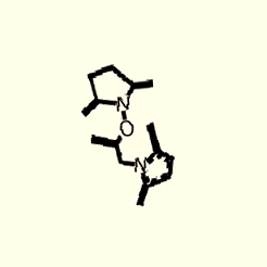 C=C(Cn1c(=C)ccc1=C)ON1C(=C)CCC1=C